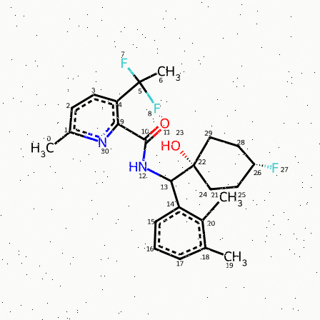 Cc1ccc(C(C)(F)F)c(C(=O)NC(c2cccc(C)c2C)[C@]2(O)CC[C@@H](F)CC2)n1